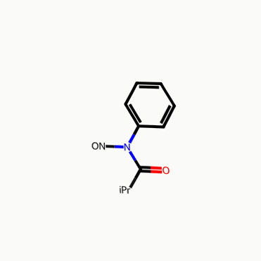 CC(C)C(=O)N(N=O)c1ccccc1